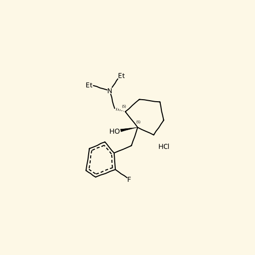 CCN(CC)C[C@@H]1CCCC[C@]1(O)Cc1ccccc1F.Cl